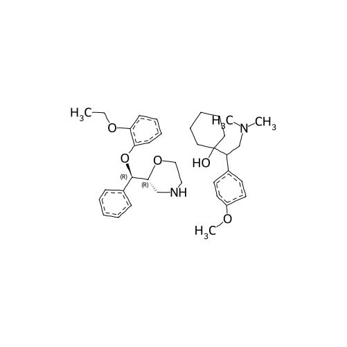 CCOc1ccccc1O[C@H](c1ccccc1)[C@H]1CNCCO1.COc1ccc(C(CN(C)C)C2(O)CCCCC2)cc1